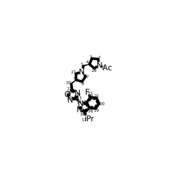 CC(=O)N1CC[C@H](CN2CC[C@@H](Cc3nc(-n4nc(C(C)C)c5cccc(F)c54)no3)C2)C1